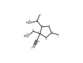 CC1CC(C(C)O)C(C#N)(CO)C1